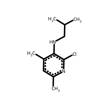 Cc1cc(C)c(NCC(C)C)c(Cl)n1